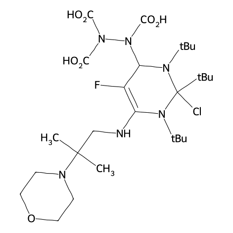 CC(C)(C)N1C(NCC(C)(C)N2CCOCC2)=C(F)C(N(C(=O)O)N(C(=O)O)C(=O)O)N(C(C)(C)C)C1(Cl)C(C)(C)C